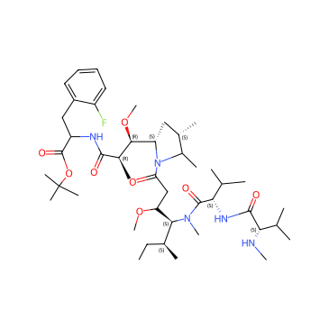 CC[C@H](C)[C@@H](C(CC(=O)N1C(C)[C@@H](C)C[C@H]1[C@H](OC)[C@@H](C)C(=O)NC(Cc1ccccc1F)C(=O)OC(C)(C)C)OC)N(C)C(=O)[C@@H](NC(=O)[C@@H](NC)C(C)C)C(C)C